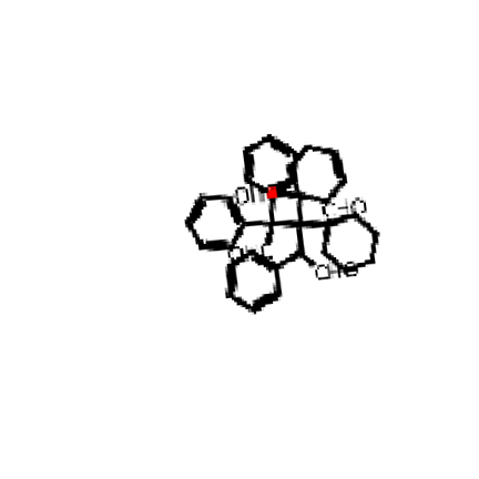 O=CC(c1ccccc1)C(C1(C=O)CC=CCC1)(C1(C=O)CCCCC1)C(C=O)(c1ccccc1)c1ccccc1